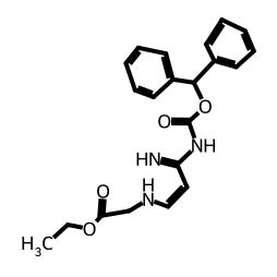 CCOC(=O)CN/C=C\C(=N)NC(=O)OC(c1ccccc1)c1ccccc1